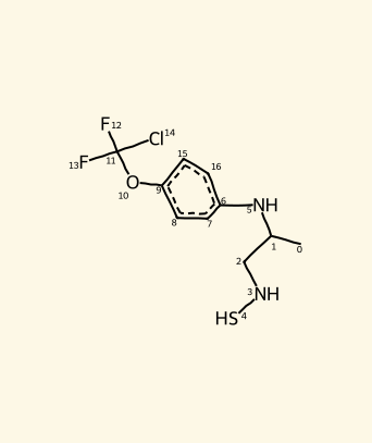 CC(CNS)Nc1ccc(OC(F)(F)Cl)cc1